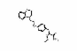 CCOC(Cc1ccc(OCCN2CCSc3ccccc32)cc1)C(N)=O